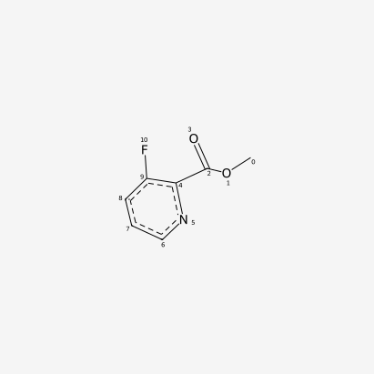 COC(=O)c1ncc[c]c1F